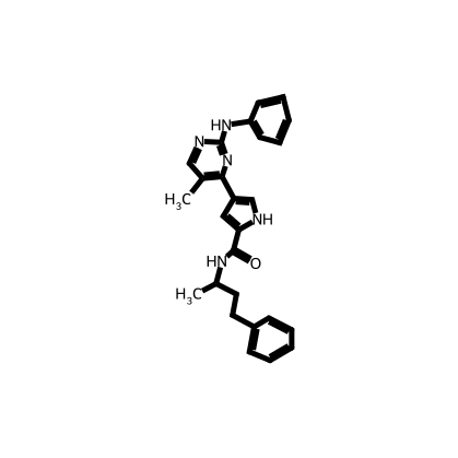 Cc1cnc(Nc2ccccc2)nc1-c1c[nH]c(C(=O)NC(C)CCc2ccccc2)c1